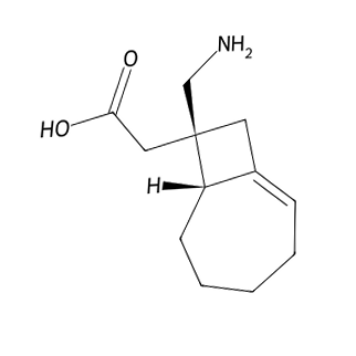 NC[C@@]1(CC(=O)O)CC2=CCCCC[C@@H]21